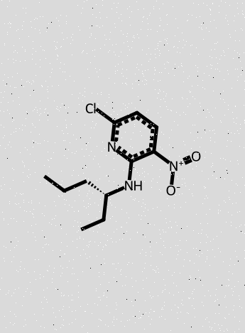 CCC[C@@H](CC)Nc1nc(Cl)ccc1[N+](=O)[O-]